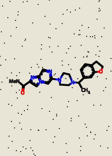 CNC(=O)c1cn2cc(N3CCN(C(C)c4ccc5c(c4)OCC5)CC3)ncc2n1